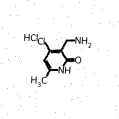 Cc1cc(Cl)c(CN)c(=O)[nH]1.Cl